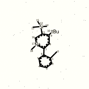 Cc1ccccc1-c1cc(C(C)(C)C)c([Si](C)(C)C)c[n+]1C